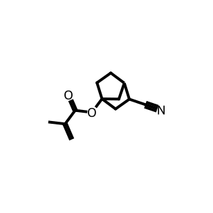 C=C(C)C(=O)OC12CCC(C1)C(C#N)C2